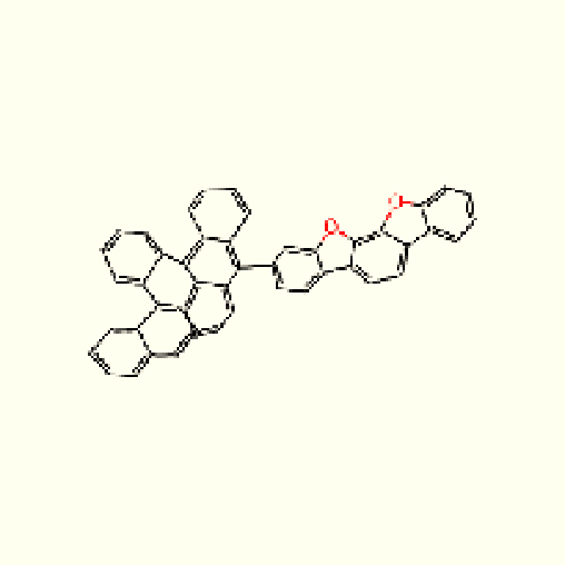 c1ccc(-c2c3ccccc3c(-c3ccc4c(c3)oc3c4ccc4c5ccccc5oc43)c3ccccc23)c(-c2cccc3ccccc23)c1